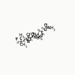 CC(C)(/C=C/n1ncc(C(=O)N[C@H]2C3CC4CC2C[C@](COC(N)=O)(C4)C3)c1C(F)(F)F)CF